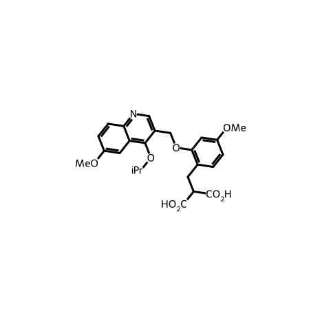 COc1ccc(CC(C(=O)O)C(=O)O)c(OCc2cnc3ccc(OC)cc3c2OC(C)C)c1